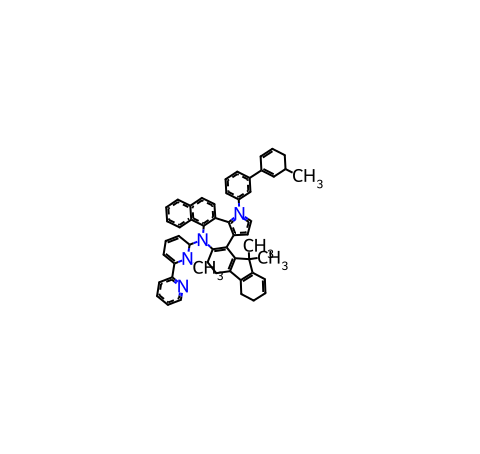 CC1C=C(c2cccc(-n3ccc4c3-c3ccc5ccccc5c3N(C3C=CC=C(c5ccccn5)N3C)C3=C4C4=C(CC3)C3=C(C=CCC3)C4(C)C)c2)C=CC1